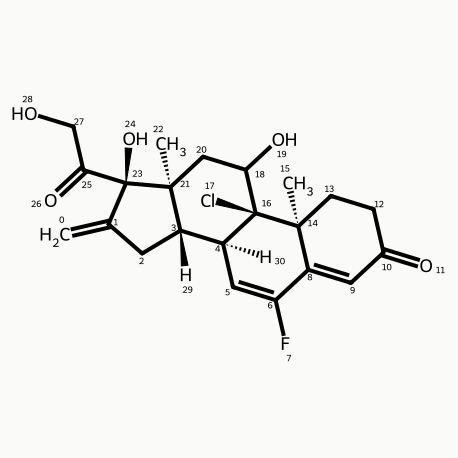 C=C1C[C@H]2[C@@H]3C=C(F)C4=CC(=O)CC[C@]4(C)[C@@]3(Cl)C(O)C[C@]2(C)[C@@]1(O)C(=O)CO